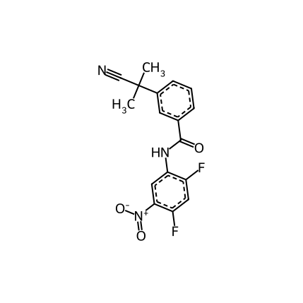 CC(C)(C#N)c1cccc(C(=O)Nc2cc([N+](=O)[O-])c(F)cc2F)c1